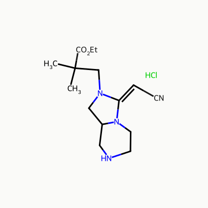 CCOC(=O)C(C)(C)CN1CC2CNCCN2/C1=C\C#N.Cl